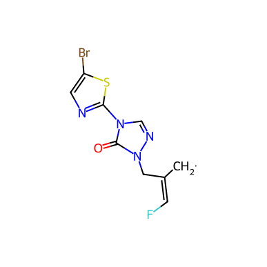 [CH2]/C(=C/F)Cn1ncn(-c2ncc(Br)s2)c1=O